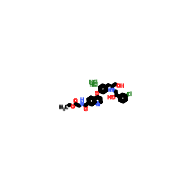 CCOC(=O)CNC(=O)c1ccc2c(Oc3ccc(C[C@@H](CO)NC[C@H](O)c4cccc(Cl)c4)cc3)ccnc2c1.Cl.Cl